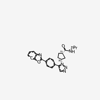 CCCNC(=O)[C@H]1CC[C@@H](n2nncc2-c2ccc(-c3nc4ccccc4o3)cc2)C1